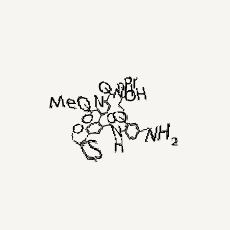 CCCNC(=O)c1ccc(-c2cc3c(cc2C(=O)Nc2ccc(CN)cc2OCCCO)-c2sccc2CCO3)c(C(=O)OC)n1